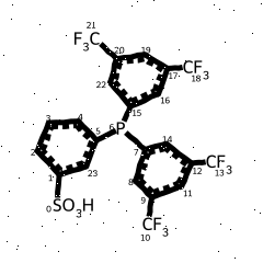 O=S(=O)(O)c1cccc(P(c2cc(C(F)(F)F)cc(C(F)(F)F)c2)c2cc(C(F)(F)F)cc(C(F)(F)F)c2)c1